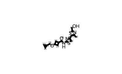 Cc1nc(CO)sc1-c1csc(NC(=O)C2CC(OCC3CC3)C2)n1